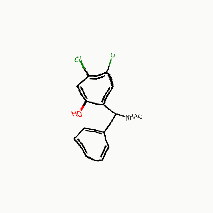 CC(=O)NC(c1ccccc1)c1cc(Cl)c(Cl)cc1O